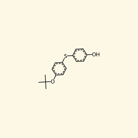 CC(C)(C)Oc1ccc(Sc2ccc(O)cc2)cc1